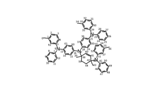 Cc1cccc(N(c2ccccc2)c2ccc(N(c3ccc(N(c4ccccc4)c4cccc(C)c4)cc3)C3(C)C=CC(C)(N(c4ccccc4)c4cccc(C)c4)CC3)cc2)c1